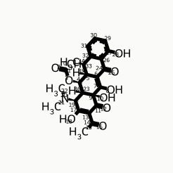 CC(=O)O[C@H]1[C@H]2C(=C(O)[C@]3(O)C(=O)C(C(C)=O)=C(O)[C@@H](N(C)C)[C@H]13)C(=O)c1c(O)cccc1[C@@H]2C